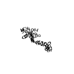 Cc1ncsc1-c1ccc([C@H](CN2CCOCC2)NC(=O)[C@@H]2C[C@@H](O)CN2C(=O)[C@@H](n2cc(C3CCN(CC4CCN(c5ccc6c(c5)-n5c(nc(=O)c7c(Br)cccc75)C65CCCCC5)CC4)CC3)nn2)C(C)(C)C)cc1